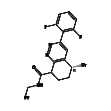 CC(C)CNC(=O)C1CC[C@@H](C(C)C)c2cc(-c3c(F)cccc3F)nnc21